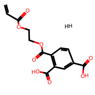 C=CC(=O)OCCOC(=O)c1ccc(C(=O)O)cc1C(=O)O.[HH]